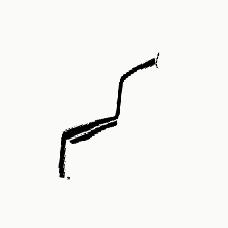 [CH2]C=CCI